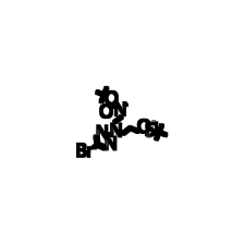 CN(CCN(CCCO[Si](C)(C)C(C)(C)C)c1ncc(Br)cn1)C(=O)OC(C)(C)C